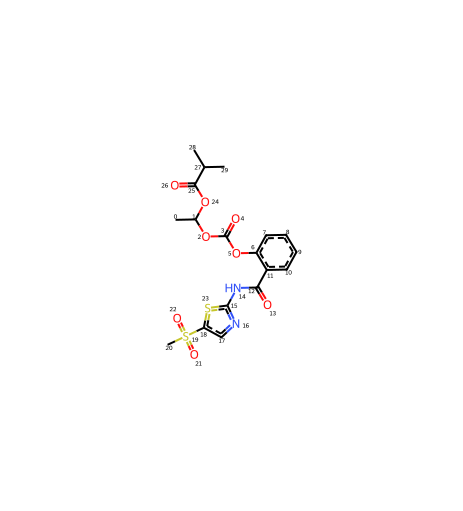 CC(OC(=O)Oc1ccccc1C(=O)Nc1ncc(S(C)(=O)=O)s1)OC(=O)C(C)C